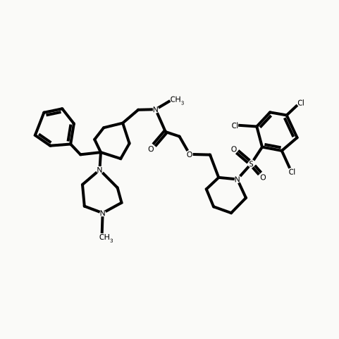 CN1CCN(C2(Cc3ccccc3)CCC(CN(C)C(=O)COCC3CCCCN3S(=O)(=O)c3c(Cl)cc(Cl)cc3Cl)CC2)CC1